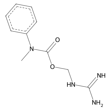 CN(C(=O)OCNC(=N)N)c1ccccc1